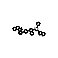 CC1(C)c2ccc3ccccc3c2-c2cccc(-c3ccc(-c4ccc(-c5cc(-c6ccc7ccccc7c6)nc(-c6ccccc6)n5)c5ccccc45)cc3)c21